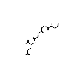 CC[C@H](C)[C@H](N)C(=O)N[C@@H](C)C(=O)NCC(=O)N[C@@H](CCC(N)=O)C(=O)O